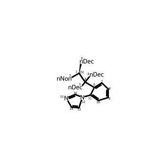 CCCCCCCCCC[C@H](CCCCCCCCC)C(CCCCCCCCCC)(CCCCCCCCCC)c1ccccc1-n1ccnc1